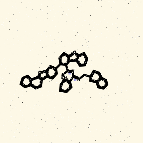 C=N/C(=N\C(=N/Cc1ccc2ccccc2c1)c1ccccc1)c1c(-c2ccc3c(c2)oc2c4ccccc4ccc32)ccc2oc3ccccc3c12